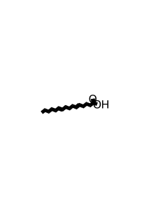 CCCCC/C=C/CCC/C=C/CCCC(=O)O